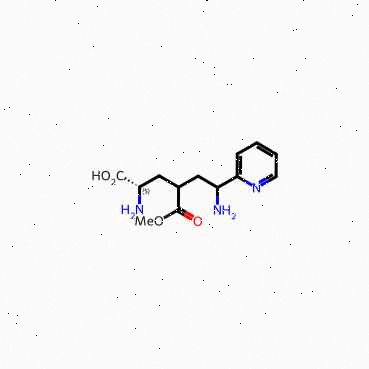 COC(=O)C(CC(N)c1ccccn1)C[C@H](N)C(=O)O